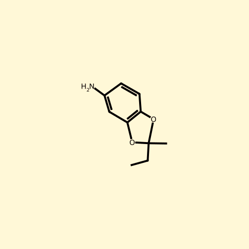 CCC1(C)Oc2ccc(N)cc2O1